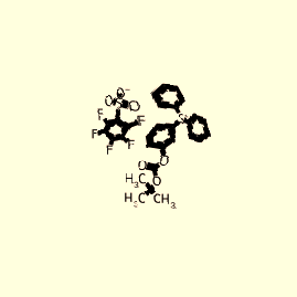 CC(C)(C)OC(=O)Oc1cccc([S+](c2ccccc2)c2ccccc2)c1.O=S(=O)([O-])c1c(F)c(F)c(F)c(F)c1F